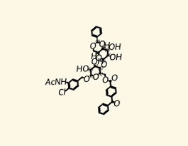 CC(=O)Nc1cc(CO[C@@H]2O[C@H](COC(=O)c3ccc(C(=O)c4ccccc4)cc3)[C@@H](O[C@H]3O[C@@H]4CO[C@@H](c5ccccc5)O[C@H]4[C@H](O)[C@H]3O)[C@H](O)[C@H]2O)ccc1Cl